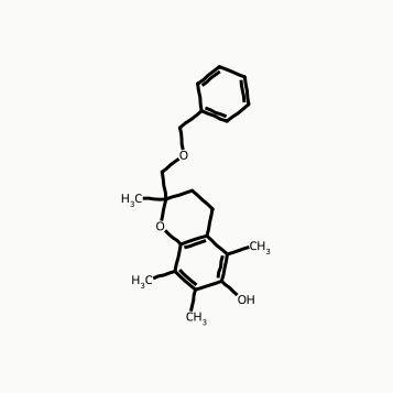 Cc1c(C)c2c(c(C)c1O)CCC(C)(COCc1ccccc1)O2